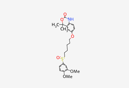 COc1ccc([S+]([O-])CCCCCCOc2ccc3c(c2)C(C)(C)OC(=O)N3)cc1OC